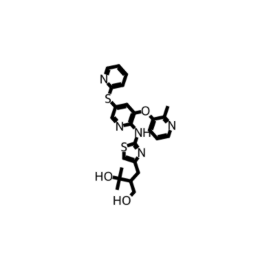 Cc1ncccc1Oc1cc(Sc2ccccn2)cnc1Nc1nc(CC(CO)C(C)(C)O)cs1